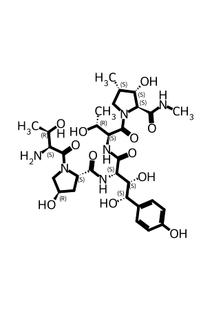 CNC(=O)[C@@H]1[C@@H](O)[C@@H](C)CN1C(=O)[C@@H](NC(=O)[C@@H](NC(=O)[C@@H]1C[C@@H](O)CN1C(=O)[C@@H](N)[C@@H](C)O)[C@H](O)[C@@H](O)c1ccc(O)cc1)[C@@H](C)O